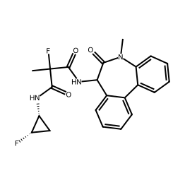 CN1C(=O)C(NC(=O)C(C)(F)C(=O)N[C@@H]2C[C@@H]2F)c2ccccc2-c2ccccc21